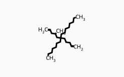 C=CCCCC(CCCCCCC)(CCCCCCCC)CC(C)CC=C